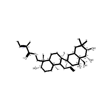 C=CCC1[C@@]2(C)CC[C@H](O)[C@](C)(COC(=O)/C(C)=C/C)C2CC[C@@]1(C)[C@@]1(C)CC2CC(C)(C)[C@@H](O)[C@H](O)[C@]2(CO)[C@H](O)C1